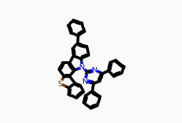 c1ccc(-c2ccc3c(c2)c2ccc4sc5ccccc5c4c2n3-c2nc(-c3ccccc3)cc(-c3ccccc3)n2)cc1